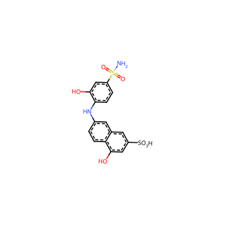 NS(=O)(=O)c1ccc(Nc2ccc3c(O)cc(S(=O)(=O)O)cc3c2)c(O)c1